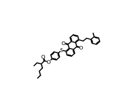 CCCCC(CC)C(=O)Oc1ccc(Sc2cccc3c2C(=O)c2cccc(CCc4ccccc4C)c2C3=O)cc1